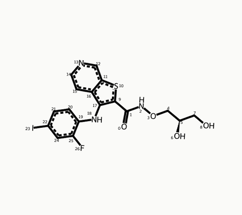 O=C(NOC[C@H](O)CO)c1sc2cnccc2c1Nc1ccc(I)cc1F